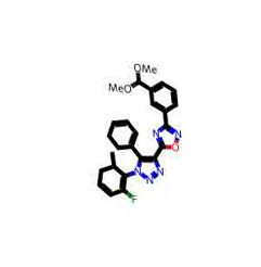 COC(OC)c1cccc(-c2noc(-c3nnn(C4=C(F)C=CCC4C)c3C3=CC=CCC3)n2)c1